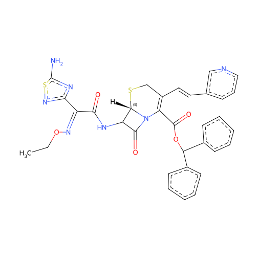 CCON=C(C(=O)NC1C(=O)N2C(C(=O)OC(c3ccccc3)c3ccccc3)=C(C=Cc3cccnc3)CS[C@@H]12)c1nsc(N)n1